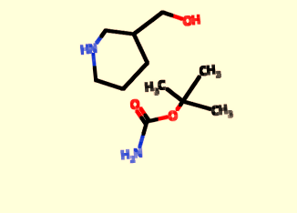 CC(C)(C)OC(N)=O.OCC1CCCNC1